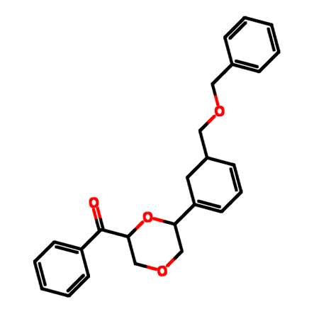 O=C(c1ccccc1)C1COCC(C2=CC=CC(COCc3ccccc3)C2)O1